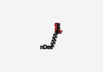 CCCCCCCCCCCCCCCCCCCCC(Br)OCC1CO1